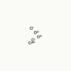 [Cl-].[Cl-].[Cr+6].[O-2].[O-2]